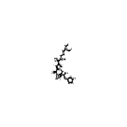 CCN(CC)CCCNC(=O)c1cc2n(n1)CC(C)(C(=O)NC1CCCC1)N(C)C2=O